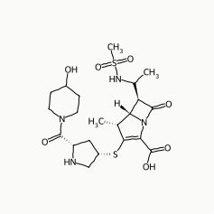 CC(NS(C)(=O)=O)[C@H]1C(=O)N2C(C(=O)O)=C(S[C@@H]3CN[C@H](C(=O)N4CCC(O)CC4)C3)[C@H](C)[C@H]12